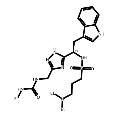 CCN(CC)CCCS(=O)(=O)N[C@H](Cc1c[nH]c2ccccc12)c1nc(CNC(=O)NC(C)C)n[nH]1